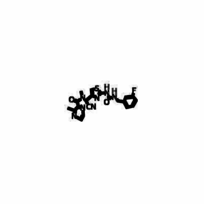 Cc1nccnc1C(=O)N(C)C(C#N)c1csc(NC(=O)NCc2cccc(F)c2)n1